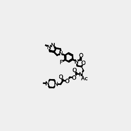 CC(=O)N(C[C@H]1CN(c2ccc(N3Cc4cn(C)nc4C3)c(F)c2)C(=O)O1)C(=O)OCOC(=O)CN1CCN(C)CC1